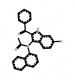 CC(=O)N(c1cccc2ccccc12)c1c(C(=O)c2ccccc2)[nH]c2cc(Cl)ccc12